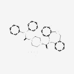 O=C(O)[C@@H]1CN(C(=O)N(c2ccccc2)c2ccccc2)CCN1C(=O)N1c2ccccc2COc2ccccc21